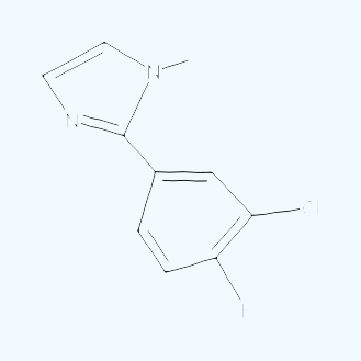 Cn1ccnc1-c1ccc(F)c(Cl)c1